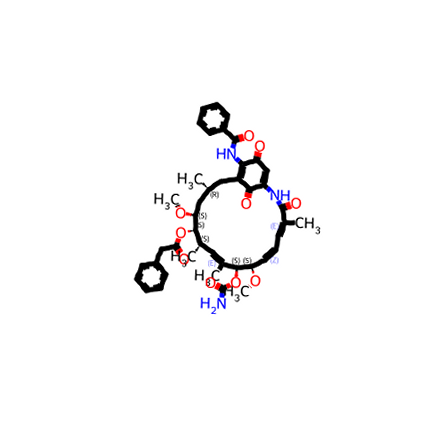 CO[C@H]1/C=C\C=C(/C)C(=O)NC2=CC(=O)C(NC(=O)c3ccccc3)=C(C[C@@H](C)C[C@H](OC)[C@@H](OC(=O)Cc3ccccc3)[C@@H](C)/C=C(\C)[C@@H]1OC(N)=O)C2=O